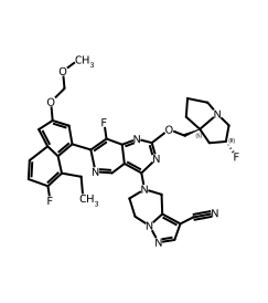 CCc1c(F)ccc2cc(OCOC)cc(-c3ncc4c(N5CCn6ncc(C#N)c6C5)nc(OC[C@@]56CCCN5C[C@H](F)C6)nc4c3F)c12